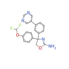 NC1=NC(c2ccc(OC(F)F)cc2)(c2cccc(-c3cncnc3)c2)CO1